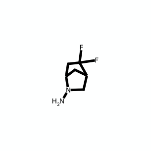 NN1CC2CC1CC2(F)F